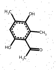 CC(=O)c1c(O)cc(C)c(O)c1C